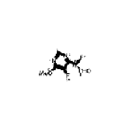 COc1ncnc([C@H](F)C=O)c1F